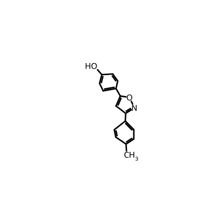 Cc1ccc(-c2cc(-c3ccc(O)cc3)on2)cc1